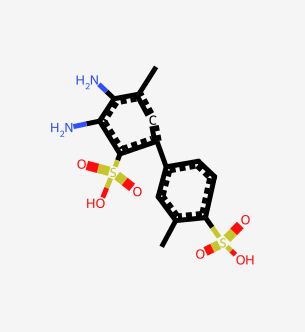 Cc1cc(-c2cc(C)c(N)c(N)c2S(=O)(=O)O)ccc1S(=O)(=O)O